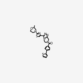 CC1CN(c2nc(-c3nnc4n3CCN(C(=O)c3ccc(-c5cccs5)cc3)C4)cs2)CCO1